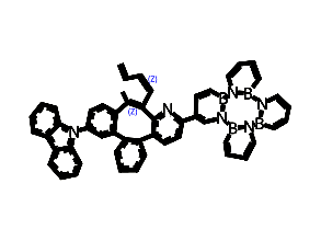 C=C/C=C\C1=C(/C)c2ccc(-n3c4ccccc4c4ccccc43)cc2-c2ccccc2-c2ccc(C3=CN4B5C=CC=CN5B5C=CC=CN5B5C=CC=CN5B4C=C3)nc21